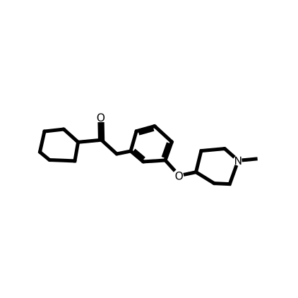 CN1CCC(Oc2cccc(CC(=O)C3CCCCC3)c2)CC1